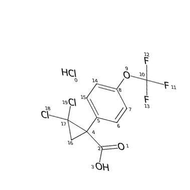 Cl.O=C(O)C1(c2ccc(OC(F)(F)F)cc2)CC1(Cl)Cl